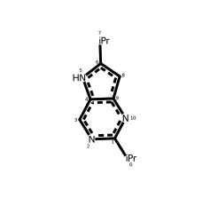 CC(C)c1ncc2[nH]c(C(C)C)cc2n1